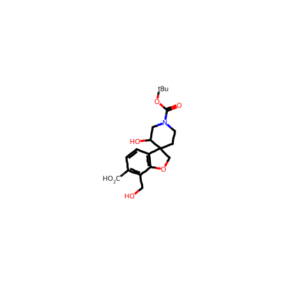 CC(C)(C)OC(=O)N1CCC2(COc3c2ccc(C(=O)O)c3CO)C(O)C1